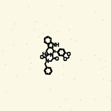 O=C1[C@H]2Cc3c([nH]c4ccccc34)[C@H](c3ccc4c(c3)OCO4)N2C(=O)CN1Cc1ccccc1